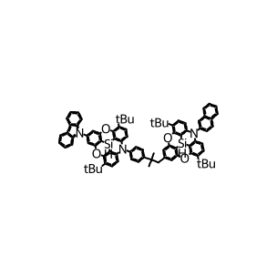 CC(C)(C)c1ccc2c3c1Oc1cc(CC(C)(C)c4ccc(N5c6ccc(C(C)(C)C)c7c6[SiH]6c8c(cc(-n9c%10ccccc%10c%10ccccc%109)cc8Oc8c(C(C)(C)C)ccc5c86)O7)cc4)cc4c1[SiH]3c1c(ccc(C(C)(C)C)c1O4)N2c1ccc2ccccc2c1